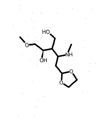 CNC(CC1OCCO1)C(CO)[C@@H](O)COC